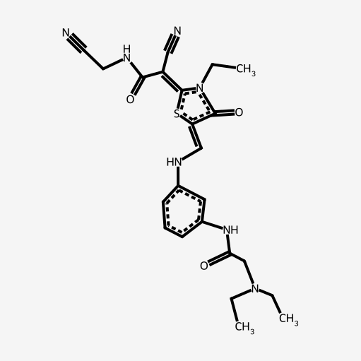 CCN(CC)CC(=O)Nc1cccc(NC=c2sc(=C(C#N)C(=O)NCC#N)n(CC)c2=O)c1